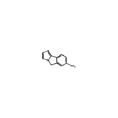 Nc1ccc2c(c1)Cn1ccnc1-2